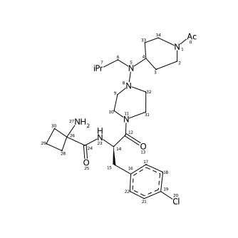 CC(=O)N1CCC(N(CC(C)C)N2CCN(C(=O)[C@@H](Cc3ccc(Cl)cc3)NC(=O)C3(N)CCC3)CC2)CC1